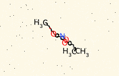 CCCCCCCCOc1ccc(-c2ccc(OC(=O)C3CC=C(CCC=C(C)C)CC3)cn2)cc1